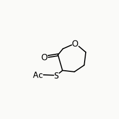 CC(=O)SC1CCCOCC1=O